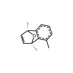 Cc1cccc2c1[C@@]1(C)C=C[C@]2(C)O1